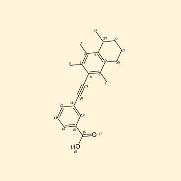 Cc1c(C)c2c(c(C)c1C#Cc1cccc(C(=O)O)c1)CCCC2C